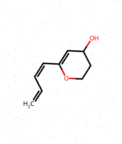 C=C/C=C\C1=CC(O)CCO1